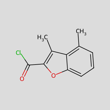 Cc1cccc2oc(C(=O)Cl)c(C)c12